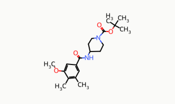 COc1cc(C(=O)NC2CCN(C(=O)OC(C)(C)C)CC2)cc(C)c1C